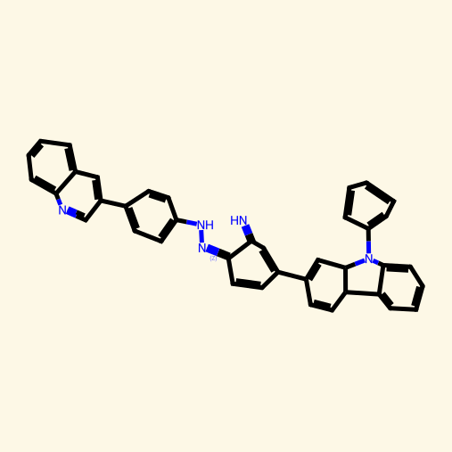 N=C1C=C(C2=CC3C(C=C2)c2ccccc2N3c2ccccc2)C=C/C1=N/Nc1ccc(-c2cnc3ccccc3c2)cc1